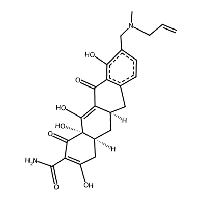 C=CCN(C)Cc1ccc2c(c1O)C(=O)C1=C(O)[C@]3(O)C(=O)C(C(N)=O)=C(O)C[C@@H]3C[C@@H]1C2